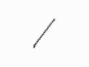 CCOCCOCCOCCOCCOCCOCCOCCOCCOCCOCCOCCN=[N+]=[N-]